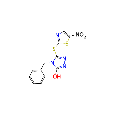 O=[N+]([O-])c1cnc(Sc2nnc(O)n2Cc2ccccc2)s1